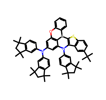 CC(C)(C)c1ccc2sc3c(c2c1)N(c1ccc2c(c1)C(C)(C)CC2(C)C)c1cc(N(c2ccc4c(c2)C(C)(C)CC4(C)C)c2ccc4c(c2)C(C)(C)CC4(C)C)cc2c1B3c1ccccc1O2